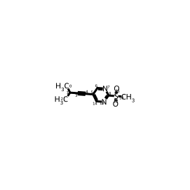 CC(C)C#Cc1cnc(S(C)(=O)=O)nc1